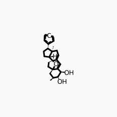 C[C@H]1C[C@@]23CC[C@@]4(O2)C(=CC[C@]2(C)[C@@H](c5ccccc5)CC[C@H]24)C=C3[C@@H](O)[C@@H]1O